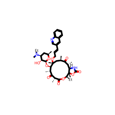 CC[C@H]1OC(=O)[C@H](C)C(=O)[C@H](C)[C@@H](O[C@@H]2O[C@H](C)C[C@H](N(C)CC)[C@H]2O)[C@](C)(OC/C=C/c2cnc3ccccc3c2)C[C@@H](C)C(=O)[C@H](C)[C@H]2NC(=O)O[C@@]21C